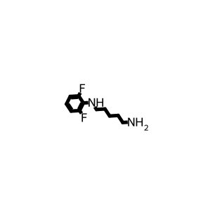 NCCCCCNc1c(F)cccc1F